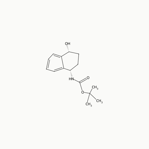 CC(C)(C)OC(=O)N[C@H]1CC[C@@H](O)c2ccccc21